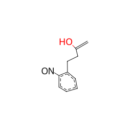 C=C(O)CCc1ccccc1N=O